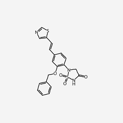 O=C1CN(c2ccc(C=Cc3cncs3)cc2OCc2ccccc2)S(=O)(=O)N1